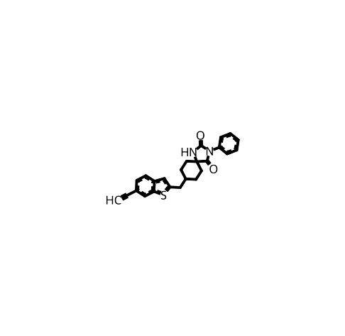 C#Cc1ccc2cc(CC3CCC4(CC3)NC(=O)N(c3ccccc3)C4=O)sc2c1